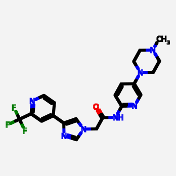 CN1CCN(c2ccc(NC(=O)Cn3cnc(-c4ccnc(C(F)(F)F)c4)c3)nc2)CC1